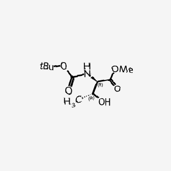 COC(=O)[C@H](NC(=O)OC(C)(C)C)[C@@H](C)O